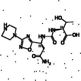 CC(O)[C@H](NC(=O)N[C@@H](CC(N)=O)c1nc(N2CCNCC2)no1)C(=O)O